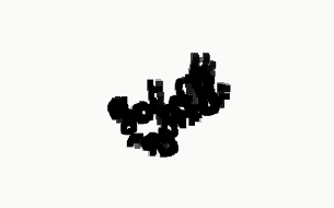 Nc1nc2c(-c3c(Cl)cc4c(NC5CCN(C(=O)n6cccn6)CC5)nc(OC[C@@]56CCCN5C[C@H](F)C6)nc4c3F)ccc(F)c2s1